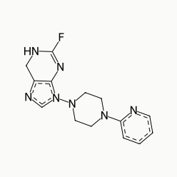 FC1=Nc2c(ncn2N2CCN(c3ccccn3)CC2)CN1